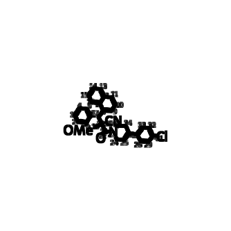 COc1ccccc1[C@H](c1cccc2ccccc12)[C@@](C)(C#N)C(=O)N1CC=C(c2ccc(Cl)cc2)CC1